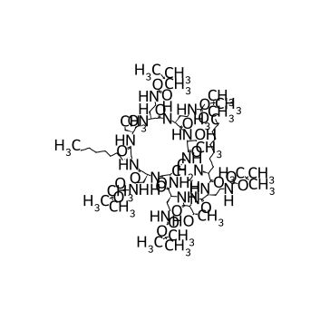 CCCCCCCC[C@H](N)C(=O)N[C@@H](CCNC(=O)OC(C)(C)C)C(=O)N[C@H](C(=O)N[C@@H](CCNC(=O)OC(C)(C)C)C(=O)N[C@H]1CCNC(=O)[C@H]([C@@H](C)O)NC(=O)[C@H](CCNC(=O)OC(C)(C)C)NC(=O)[C@H](CCNC(=O)OC(C)(C)C)NC(=O)[C@H](CC)NC(=O)[C@@H](CCCCCCCC)NC(=O)[C@H](CCNC(=O)OC(C)(C)C)NC1=O)[C@@H](C)O